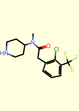 CN(C(=O)Cc1cccc(C(F)(F)F)c1Cl)C1CCNCC1